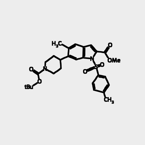 COC(=O)c1cc2cc(C)c(C3CCN(C(=O)OC(C)(C)C)CC3)cc2n1S(=O)(=O)c1ccc(C)cc1